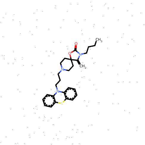 C=C1N(CCCC)C(=O)OC12CCN(CCCN1c3ccccc3Sc3ccccc31)CC2